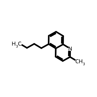 CCCCc1cccc2nc(C)ccc12